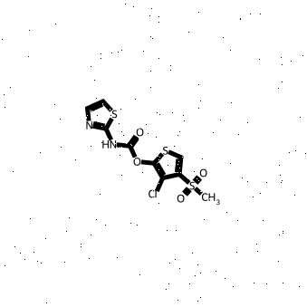 CS(=O)(=O)c1csc(OC(=O)Nc2nccs2)c1Cl